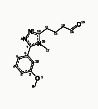 COc1cccc(-c2nnc(CCCC=O)n2C)c1